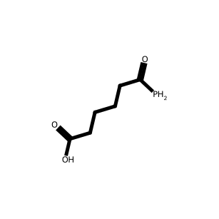 O=C(O)CCCCC(=O)P